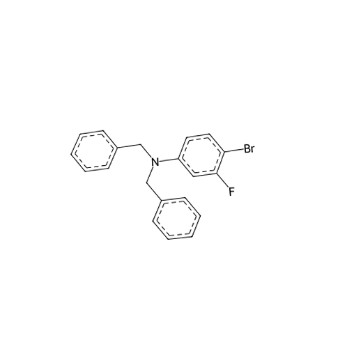 Fc1cc(N(Cc2ccccc2)Cc2ccccc2)ccc1Br